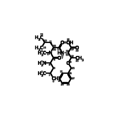 CC(C)CC(N)C(=O)N(C)[C@@H](CC(C)C)C(=O)N[C@H](C(=O)O)C(C)OCc1ccccc1